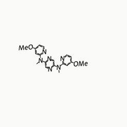 COc1ccnc(N(C)c2cnc(N(C)c3cc(OC)ccn3)cn2)c1